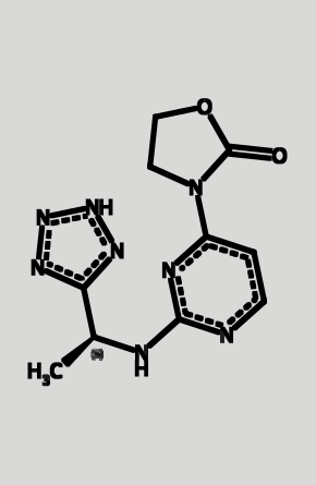 C[C@H](Nc1nccc(N2CCOC2=O)n1)c1nn[nH]n1